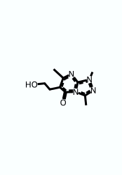 Cc1nc2n(C)nc(C)n2c(=O)c1CCO